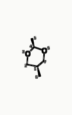 C[C@H]1CO[C@@H](C)OC1